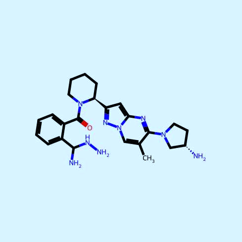 Cc1cn2nc([C@@H]3CCCCN3C(=O)c3ccccc3C(N)NN)cc2nc1N1CC[C@H](N)C1